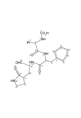 CC(C)C(NC(=O)O)C(=O)NC(Cc1ccccc1)C(=O)NC(C=O)CC1CCNC1=O